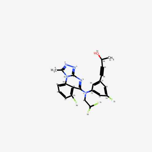 Cc1nnc2nc(N(CC(F)F)c3cc(F)cc(C#CC(C)O)c3)c3c(F)cccc3n12